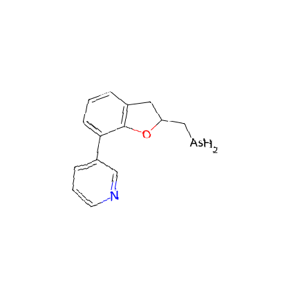 [AsH2]CC1Cc2cccc(-c3cccnc3)c2O1